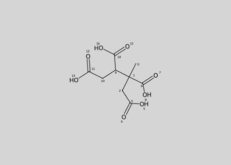 CC(CC(=O)O)(C(=O)O)C(CC(=O)O)C(=O)O